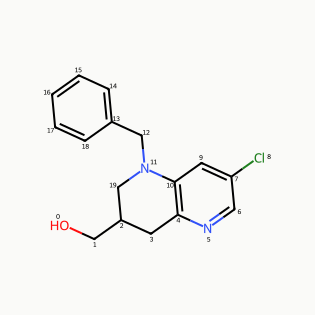 OCC1Cc2ncc(Cl)cc2N(Cc2ccccc2)C1